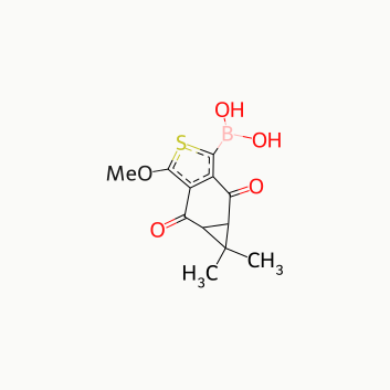 COc1sc(B(O)O)c2c1C(=O)C1C(C2=O)C1(C)C